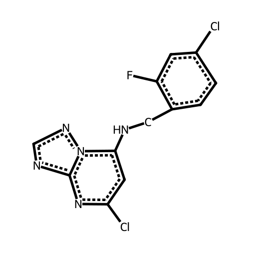 Fc1cc(Cl)ccc1CNc1cc(Cl)nc2ncnn12